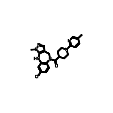 Cc1ccc(N2CCC(C(=O)N3Cc4cnn(C)c4Nc4cc(Cl)ccc43)CC2)nc1